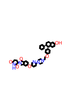 O=C1CCC(N2Cc3cc(Oc4ccc(N5CCN(CCOc6ccc([C@@H]7c8ccc(O)cc8CC[C@@H]7c7ccccc7)cc6)CC5)nc4)ccc3C2=O)C(=O)N1